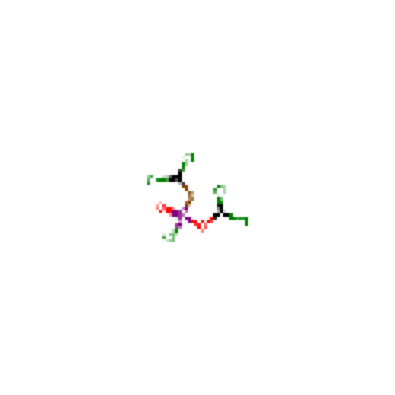 O=P(Cl)(OC(Cl)Cl)SC(Cl)Cl